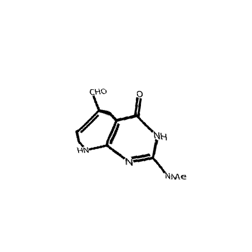 CNc1nc2[nH]cc(C=O)c2c(=O)[nH]1